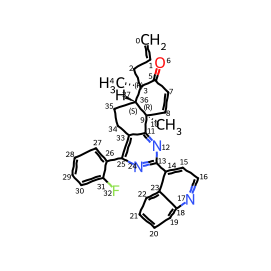 C=CC[C@@]1(C)C(=O)C=C[C@@]2(C)c3nc(-c4ccnc5ccccc45)nc(-c4ccccc4F)c3CC[C@H]12